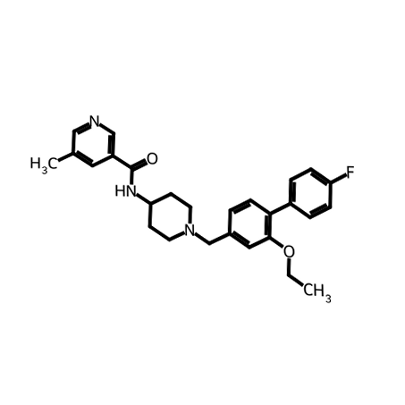 CCOc1cc(CN2CCC(NC(=O)c3cncc(C)c3)CC2)ccc1-c1ccc(F)cc1